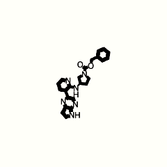 O=C(OCc1ccccc1)N1CC[C@@H](Nc2ncccc2-c2cnc3[nH]ccc3n2)C1